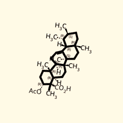 CC(=O)O[C@@H]1CC[C@@]2(C)[C@@H](CC[C@]3(C)[C@@H]2CC=C2[C@@H]4[C@H](C)[C@@H](C)CC[C@]4(C)CC[C@]23C)[C@@]1(C)C(=O)O